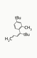 C=C/C=C(\c1ccc(C(C)(C)C)cc1C)C(C)(C)C